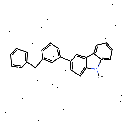 Cn1c2ccccc2c2cc(-c3cccc(Cc4ccccc4)c3)ccc21